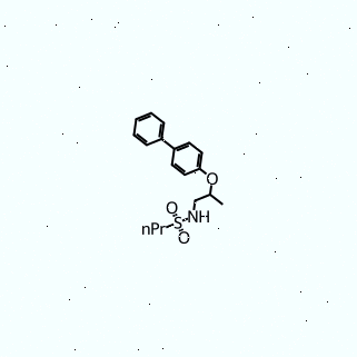 CCCS(=O)(=O)NCC(C)Oc1ccc(-c2ccccc2)cc1